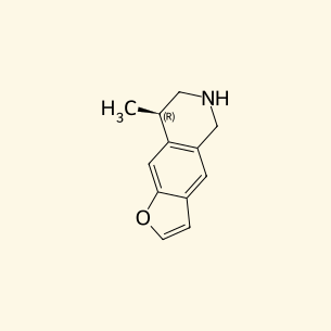 C[C@H]1CNCc2cc3ccoc3cc21